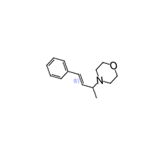 CC(/C=C/c1ccccc1)N1CCOCC1